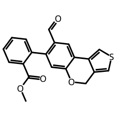 COC(=O)c1ccccc1-c1cc2c(cc1C=O)-c1cscc1CO2